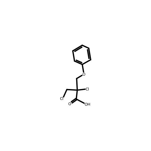 O=C(O)C(Cl)(CCl)COc1ccccc1